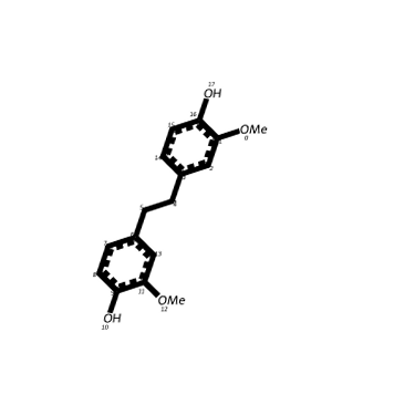 COc1cc([CH]Cc2ccc(O)c(OC)c2)ccc1O